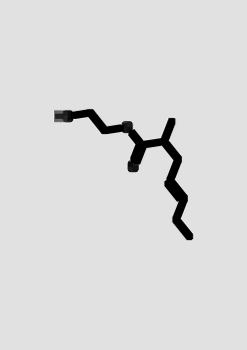 CCC=CCC(C)C(=O)OCCO